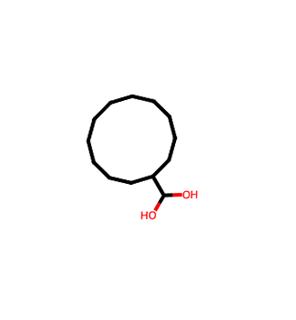 OC(O)C1CCCCCCCCCCC1